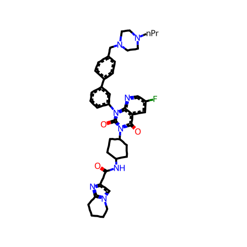 CCCN1CCN(Cc2ccc(-c3cccc(-n4c(=O)n(C5CCC(NC(=O)c6cn7c(n6)CCCC7)CC5)c(=O)c5cc(F)cnc54)c3)cc2)CC1